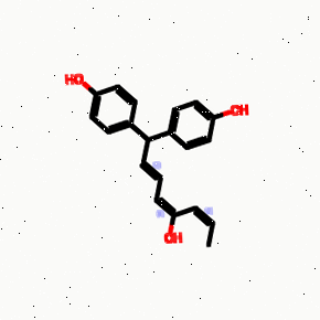 C\C=C/C(O)=C\C=C\C(c1ccc(O)cc1)c1ccc(O)cc1